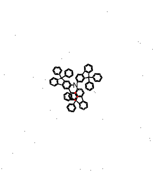 c1ccc(-c2cc3c(cc2N(c2ccc4c(c2)C(c2ccccc2)(c2ccccc2)c2ccccc2-4)c2ccc4c(c2)C(c2ccccc2)(c2ccccc2)c2ccccc2-4)C(c2ccccc2)(c2ccccc2)c2ccccc2-3)cc1